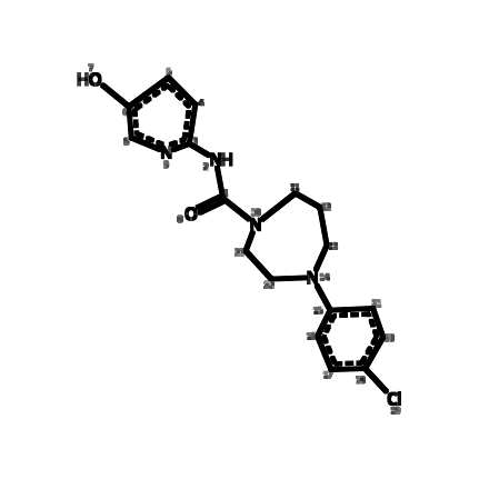 O=C(Nc1ccc(O)cn1)N1CCCN(c2ccc(Cl)cc2)CC1